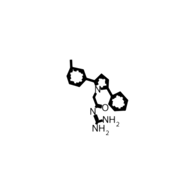 Cc1cccc(-c2ccc(-c3ccccc3)n2CC(=O)N=C(N)N)c1